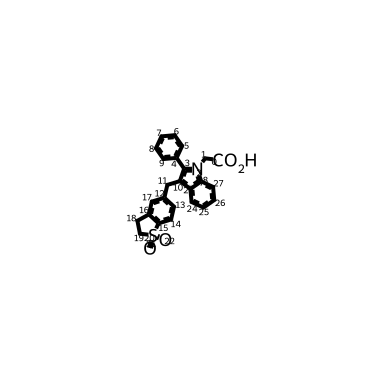 O=C(O)Cn1c(-c2ccccc2)c(Cc2ccc3c(c2)CCS3(=O)=O)c2ccccc21